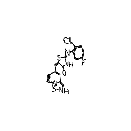 O=C1NC(=Nc2cc(F)ccc2Cl)SC1=CC1=CC2=CNSN2C=C1